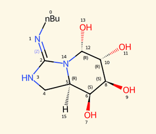 CCCC/N=C1/NC[C@@H]2[C@H](O)[C@H](O)[C@@H](O)[C@@H](O)N12